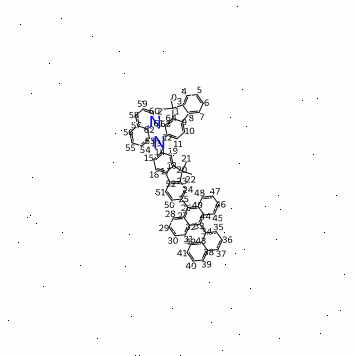 CC1(C)c2ccccc2-c2ccc(N(c3ccc4c(c3)C(C)(C)c3cc(-c5c6ccccc6c(-c6cccc7ccccc67)c6ccccc56)ccc3-4)c3cccc4cccnc34)cc21